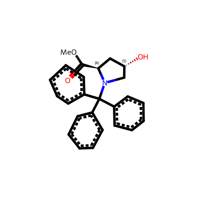 COC(=O)[C@H]1C[C@H](O)CN1C(c1ccccc1)(c1ccccc1)c1ccccc1